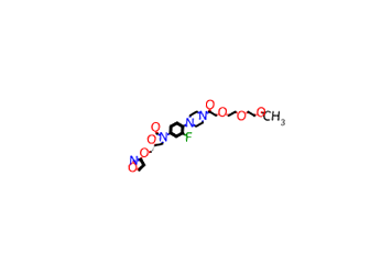 COCCOCCOCC(=O)N1CCN(c2ccc(N3C[C@H](COc4ccon4)OC3=O)cc2F)CC1